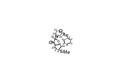 CC(=O)c1ccccc1.CSc1ccc(C(=O)C(C)(C)N2CCOCC2)cc1